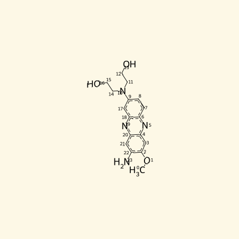 COc1cc2nc3ccc(N(CCO)CCO)cc3nc2cc1N